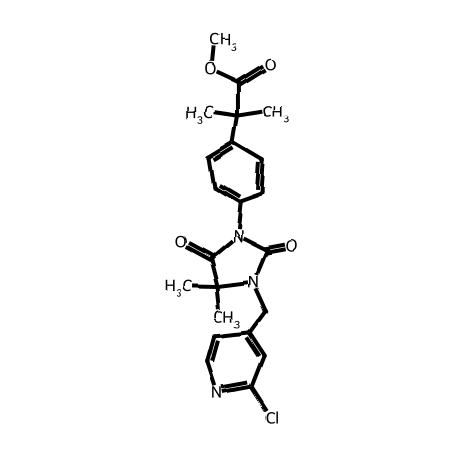 COC(=O)C(C)(C)c1ccc(N2C(=O)N(Cc3ccnc(Cl)c3)C(C)(C)C2=O)cc1